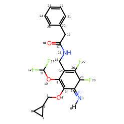 [H]/N=C1\C(OCC2CC2)=C(OC(F)F)C(CNC(=O)Cc2ccccc2)=C(F)C1F